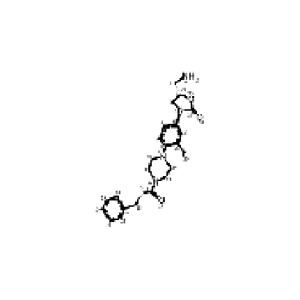 NC[C@H]1CN(c2ccc(N3CCN(C(=O)OCc4ccccc4)CC3)c(F)c2)C(=O)O1